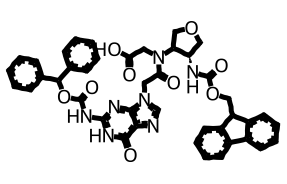 O=C(O)CN(C(=O)Cn1cnc2c(=O)[nH]c(NC(=O)OC(c3ccccc3)c3ccccc3)nc21)C1COC[C@@H]1NC(=O)OCC1c2ccccc2-c2ccccc21